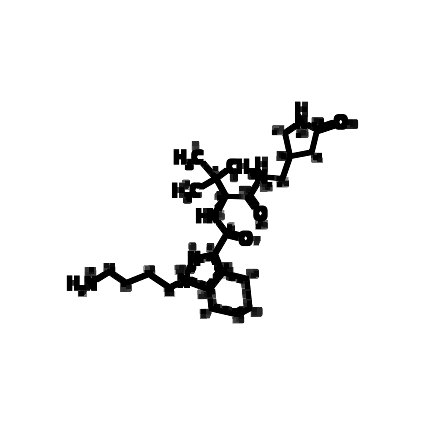 CC(C)(C)[C@H](NC(=O)c1nn(CCCCN)c2ccccc12)C(=O)NCC1CNC(=O)C1